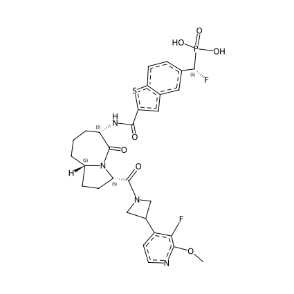 COc1nccc(C2CN(C(=O)[C@@H]3CC[C@@H]4CCC[C@H](NC(=O)c5cc6cc([C@@H](F)P(=O)(O)O)ccc6s5)C(=O)N43)C2)c1F